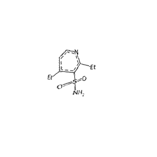 CCc1ccnc(CC)c1S(N)(=O)=O